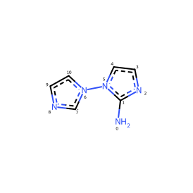 Nc1nccn1-n1[c]ncc1